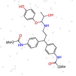 COC(=O)Nc1ccc(C(CCNC(Oc2ccc(O)cc2)C(C)O)c2ccc(NC(=O)OC)cc2)cc1